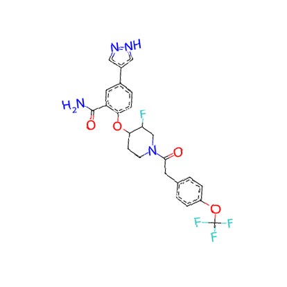 NC(=O)c1cc(-c2cn[nH]c2)ccc1OC1CCN(C(=O)Cc2ccc(OC(F)(F)F)cc2)CC1F